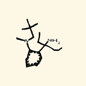 CCC(N)(CC)c1ccccc1N(C)CC(C)(C)C